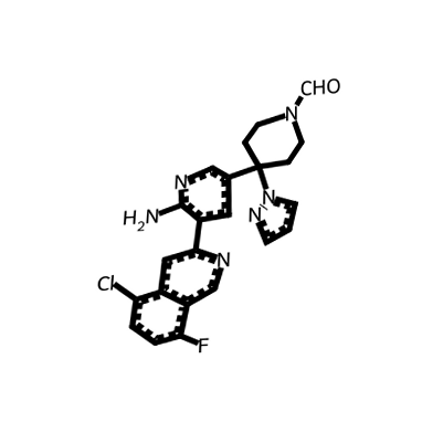 Nc1ncc(C2(n3cccn3)CCN(C=O)CC2)cc1-c1cc2c(Cl)ccc(F)c2cn1